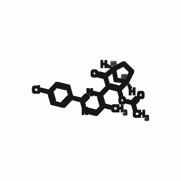 CC(=O)OC1=C(c2nc(-c3ccc(Cl)cc3)ncc2C)C(=O)[C@H]2CC[C@@H]1C2